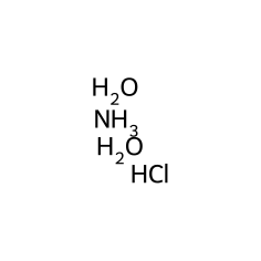 Cl.N.O.O